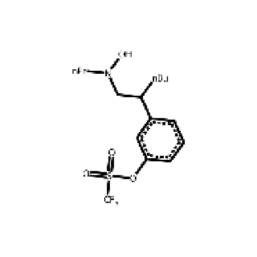 CCCCC(CN(O)CCC)c1cccc(OS(=O)(=O)C(F)(F)F)c1